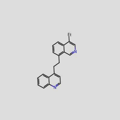 CCc1cncc2c(CCc3ccnc4ccccc34)cccc12